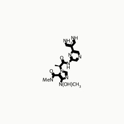 CNC(=O)c1c(N(C)O)ncn1[C@@H](C)C(=O)Nc1cncc(/C(C=N)=C/N)n1